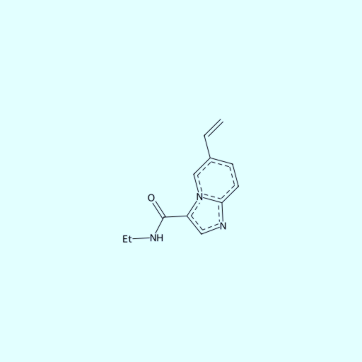 C=Cc1ccc2ncc(C(=O)NCC)n2c1